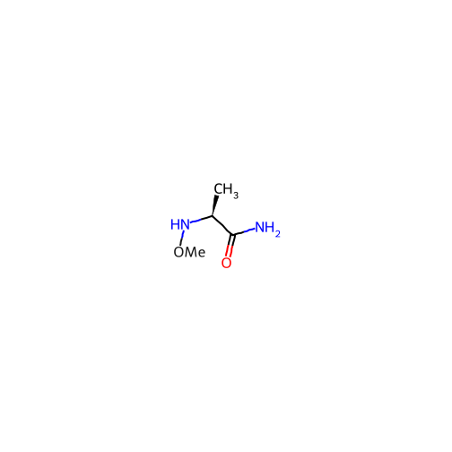 CON[C@@H](C)C(N)=O